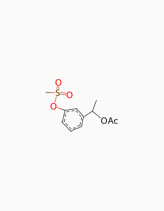 CC(=O)OC(C)c1cccc(OS(C)(=O)=O)c1